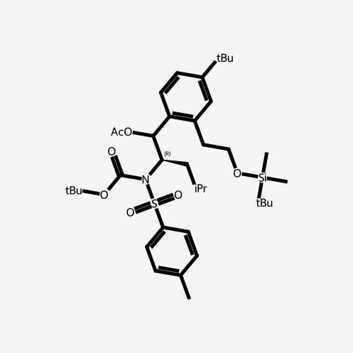 CC(=O)OC(c1ccc(C(C)(C)C)cc1CCO[Si](C)(C)C(C)(C)C)[C@@H](CC(C)C)N(C(=O)OC(C)(C)C)S(=O)(=O)c1ccc(C)cc1